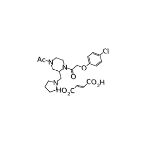 CC(=O)N1CCN(C(=O)COc2ccc(Cl)cc2)C(CN2CCCC2)C1.O=C(O)C=CC(=O)O